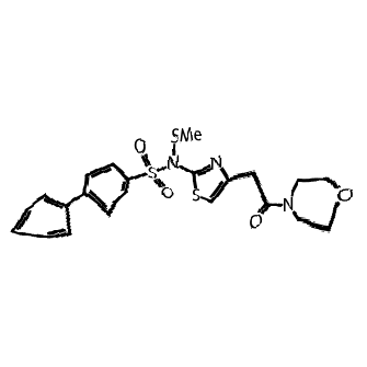 CSN(c1nc(CC(=O)N2CCOCC2)cs1)S(=O)(=O)c1ccc(-c2ccccc2)cc1